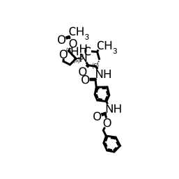 CC(=O)O[C@@H]1OCC[C@@H]1NC(=O)[C@H](CC(C)C)NC(=O)c1ccc(NC(=O)OCc2ccccc2)cc1